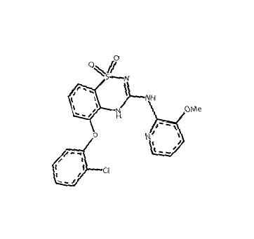 COc1cccnc1NC1=NS(=O)(=O)c2cccc(Oc3ccccc3Cl)c2N1